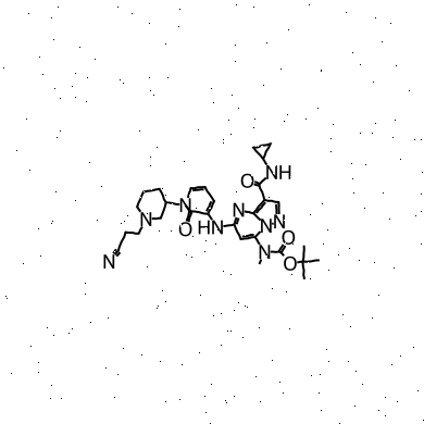 CN(C(=O)OC(C)(C)C)c1cc(Nc2cccn(C3CCCN(CCC#N)C3)c2=O)nc2c(C(=O)NC3CC3)cnn12